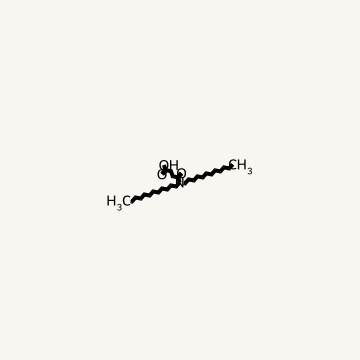 CCCCCCCCCCCCN(CCCCCCCCCCCC)C(=O)CCC(=O)O